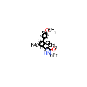 CCCNC(=O)/C(C)=C/c1cc(C#N)cc(-c2ccc(OC(F)(F)F)cc2)c1C